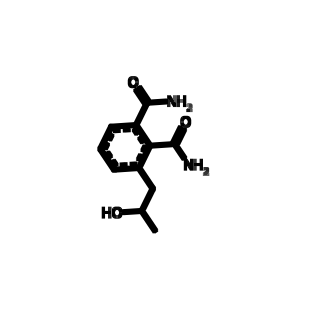 CC(O)Cc1cccc(C(N)=O)c1C(N)=O